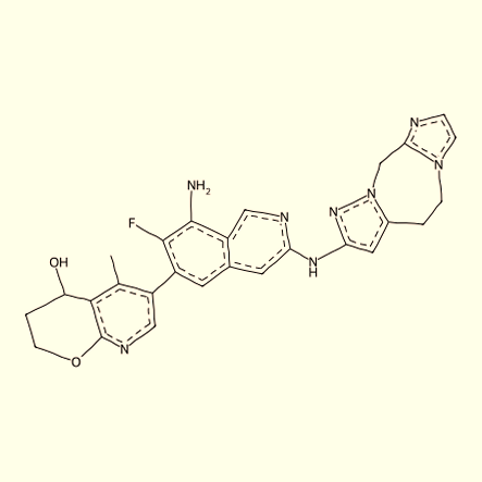 Cc1c(-c2cc3cc(Nc4cc5n(n4)Cc4nccn4CC5)ncc3c(N)c2F)cnc2c1C(O)CCO2